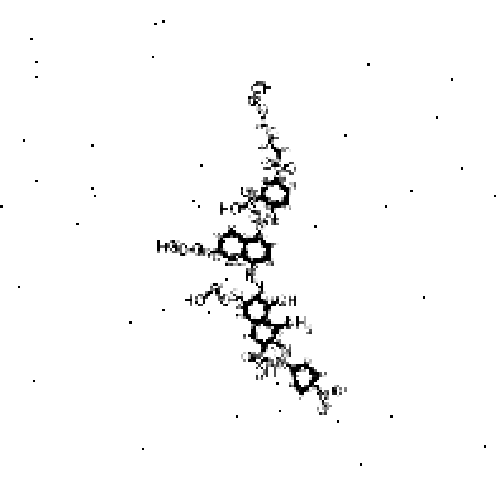 Nc1c(/N=N/c2ccc([N+](=O)[O-])cc2)c(S(=O)(=O)O)cc2cc(SOOO)c(/N=N/c3ccc(/N=N/c4ccc(S(=O)(=O)CCOSOOO)cc4S(=O)(=O)O)c4ccc(SOOO)cc34)c(O)c12